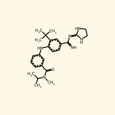 CC(C)N(C)C(=O)c1cccc(Nc2ccc(C(=N)N=C3NCCN3)cc2C(C)(C)C)c1